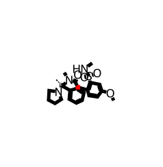 CNS(=O)(=O)c1cc(OC)ccc1CC(=O)N(C)[C@@](C)(c1ccccc1)N1CCCC1